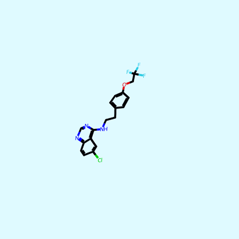 FC(F)(F)COc1ccc(CCNc2ncnc3ccc(Cl)cc23)cc1